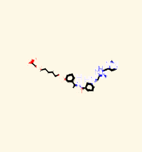 COC(=O)COCCCCCCOc1cccc(C(C)NC(=O)c2cccc(NCc3nnc(-c4ccncn4)n3C)c2)c1